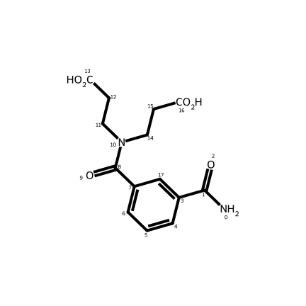 NC(=O)c1cccc(C(=O)N(CCC(=O)O)CCC(=O)O)c1